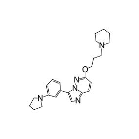 c1cc(-c2cnc3ccc(OCCCN4CCCCC4)nn23)cc(N2CCCC2)c1